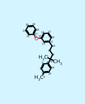 Cc1ccc(C(C)(C)CCCc2cccc(Oc3ccccc3)c2)cc1